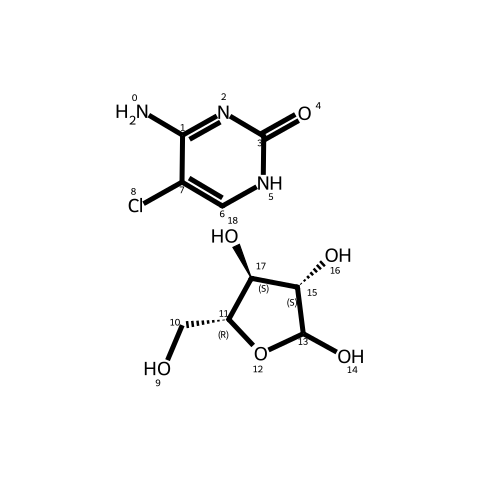 Nc1nc(=O)[nH]cc1Cl.OC[C@H]1OC(O)[C@@H](O)[C@@H]1O